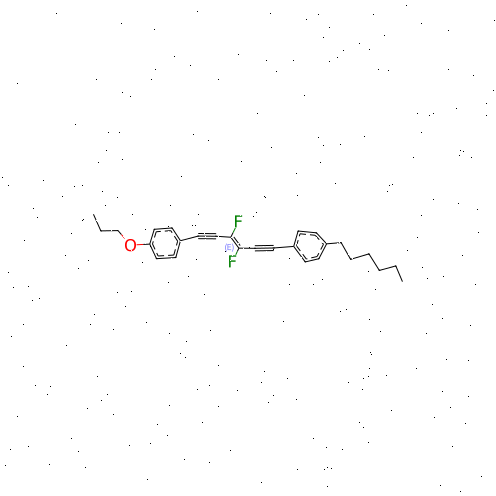 CCCCCCc1ccc(C#C/C(F)=C(\F)C#Cc2ccc(OCCC)cc2)cc1